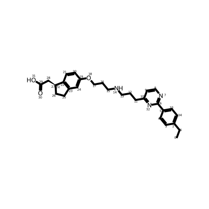 CCc1ccc(-c2nccc(CCCNCCCOc3ccc4c(c3)CC[C@H]4CC(=O)O)n2)cc1